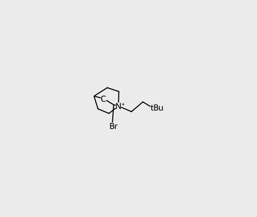 CC(C)(C)CC[N+]12CCC(CC1)CC2Br